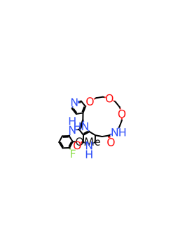 COc1c(F)cccc1Nc1c2[nH]c3c1C(=O)NCC3CC(=O)NCCOCCOCCOc1cnccc1-2